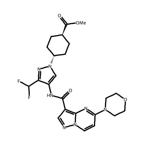 COC(=O)[C@H]1CC[C@H](n2cc(NC(=O)c3cnn4ccc(N5CCOCC5)nc34)c(C(F)F)n2)CC1